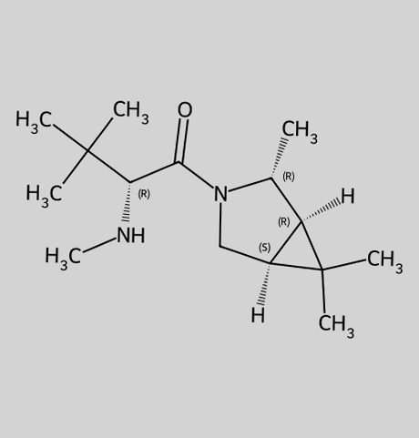 CN[C@@H](C(=O)N1C[C@H]2[C@@H]([C@H]1C)C2(C)C)C(C)(C)C